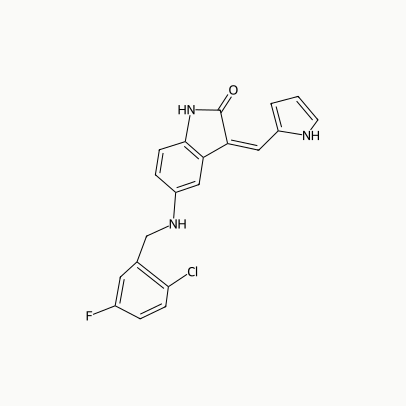 O=C1Nc2ccc(NCc3cc(F)ccc3Cl)cc2C1=Cc1ccc[nH]1